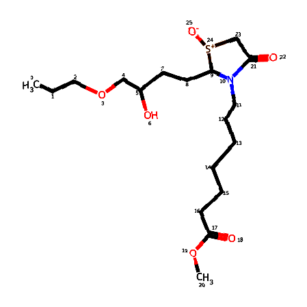 CCCOCC(O)CCC1N(CCCCCCC(=O)OC)C(=O)C[S+]1[O-]